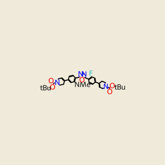 CNc1cc(C2=CCN(C(=O)OC(C)(C)C)CC2)ccc1-c1nnc(-c2ccc(C3=CCN(C(=O)OC(C)(C)C)CC3)cc2F)o1